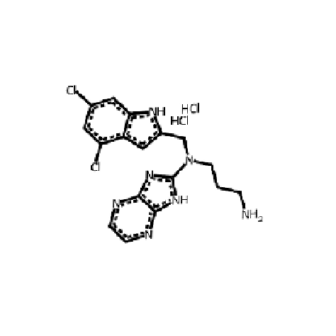 Cl.Cl.NCCCN(Cc1cc2c(Cl)cc(Cl)cc2[nH]1)c1nc2nccnc2[nH]1